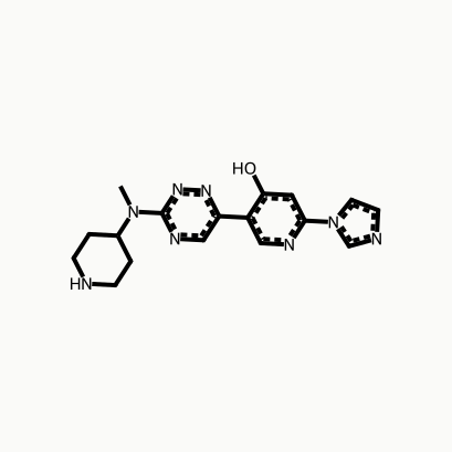 CN(c1ncc(-c2cnc(-n3ccnc3)cc2O)nn1)C1CCNCC1